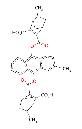 Cc1ccc2c(OC(=O)C3=C(C(=O)O)C4CC3CC4C)c3ccccc3c(OC(=O)C3=C(C(=O)O)C4CC3CC4C)c2c1